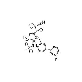 CS(=O)(=O)N[C@@H]1[C@H](Cc2cccc(-c3cccc(F)c3)c2)N(C(=O)C2(C#N)CCC2)CC1(F)F